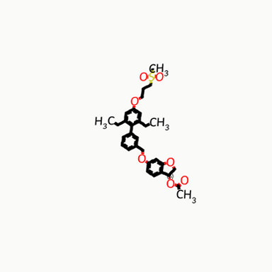 CCc1cc(OCCCS(C)(=O)=O)cc(CC)c1-c1cccc(COc2ccc3c(c2)OC[C@H]3OC(C)=O)c1